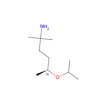 CC(C)O[C@@H](C)CCC(C)(C)N